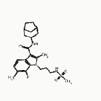 Cc1ccc2c(C(=O)NC3CC4CCC(C4)C3)c(C)n(CCCNS(C)(=O)=O)c2c1F